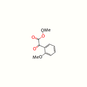 COOC(=O)C(=O)c1ccccc1OC